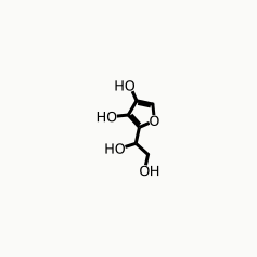 OCC(O)c1occ(O)c1O